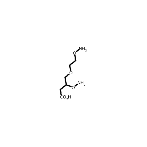 NOCCOCC(CC(=O)O)ON